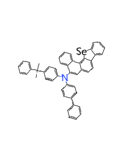 CC(C)(c1ccccc1)c1ccc(N(c2ccc(-c3ccccc3)cc2)c2cc3ccc4c5ccccc5[se]c4c3c3ccccc23)cc1